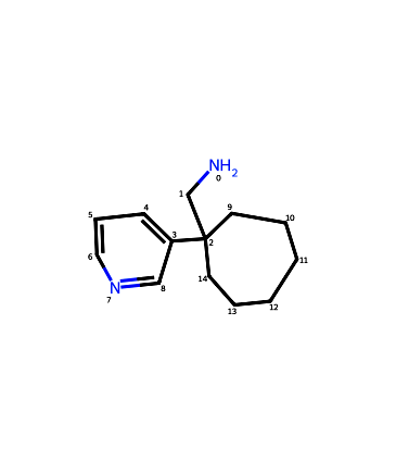 NCC1(c2cccnc2)CCCCCC1